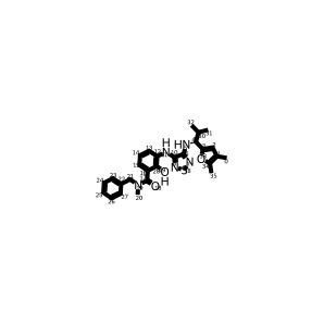 Cc1cc([C@H](Nc2nsnc2Nc2cccc(C(=O)N(C)Cc3ccccc3)c2O)C(C)C)oc1C